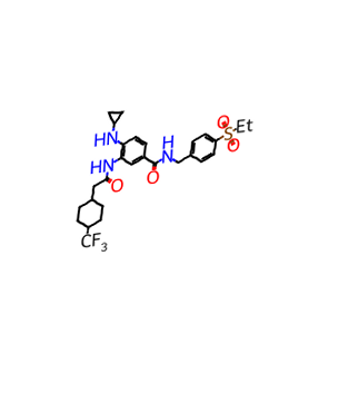 CCS(=O)(=O)c1ccc(CNC(=O)c2ccc(NC3CC3)c(NC(=O)CC3CCC(C(F)(F)F)CC3)c2)cc1